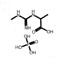 CNC(=N)NC(C)C(=O)O.O=P(O)(O)O